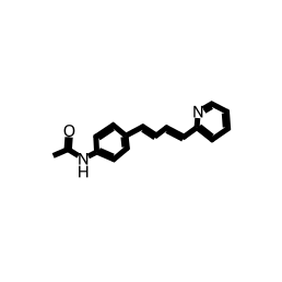 CC(=O)Nc1ccc(C=CC=Cc2ccccn2)cc1